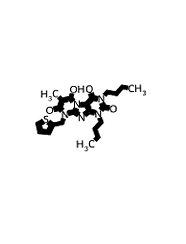 CCCCn1c(=O)c2c(nc3n(Cc4cccs4)c(=O)c(C)c(O)n23)n(CCCC)c1=O